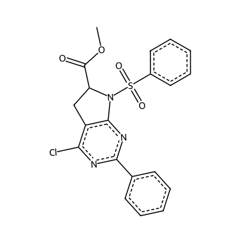 COC(=O)C1Cc2c(Cl)nc(-c3ccccc3)nc2N1S(=O)(=O)c1ccccc1